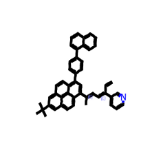 C=C/C(=C\C=C(/C)c1cc(-c2ccc(-c3cccc4ccccc34)cc2)c2ccc3cc(C(C)(C)C)cc4ccc1c2c43)c1cccnc1